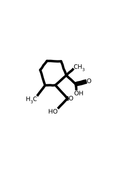 CC1CCCC(C)(C(=O)O)C1C(=O)O